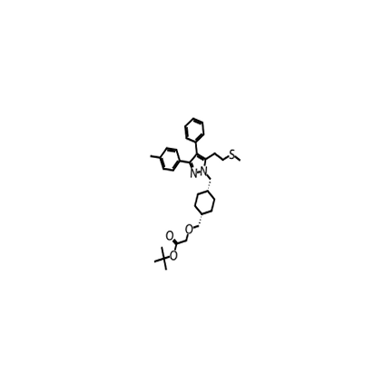 CSCCc1c(-c2ccccc2)c(-c2ccc(C)cc2)nn1C[C@H]1CC[C@@H](COCC(=O)OC(C)(C)C)CC1